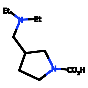 CCN(CC)CC1CCN(C(=O)O)C1